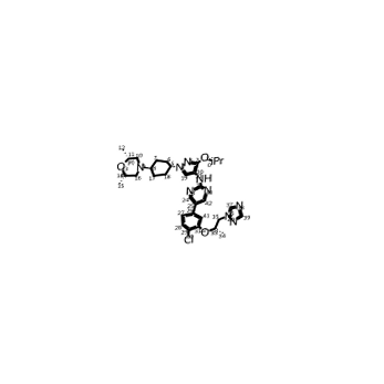 CC(C)Oc1nn([C@H]2CC[C@H](N3C[C@@H](C)O[C@@H](C)C3)CC2)cc1Nc1ncc(-c2ccc(Cl)c(O[C@@H](C)Cn3cncn3)c2)cn1